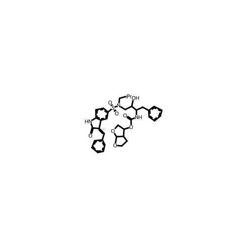 CC(C)CN(CC(O)C(Cc1ccccc1)NC(=O)OC1COC2OCCC12)S(=O)(=O)c1ccc2c(c1)/C(=C/c1ccccc1)C(=O)N2